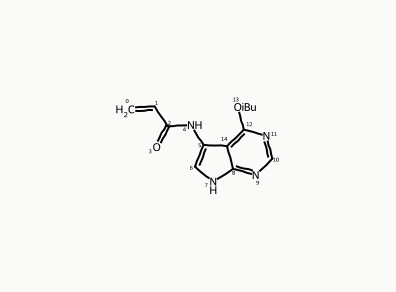 C=CC(=O)Nc1c[nH]c2ncnc(OCC(C)C)c12